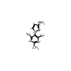 [2H]c1nc(C)nc([2H])c1-n1ccc(N)n1